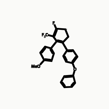 COc1ccc(C2=C(c3ccc(Oc4ccccc4)cc3)C[CH]C(F)=C2C(F)(F)F)cc1